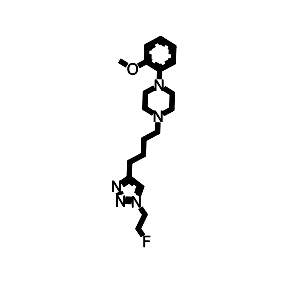 COc1ccccc1N1CCN(CCCCc2cn(CCF)nn2)CC1